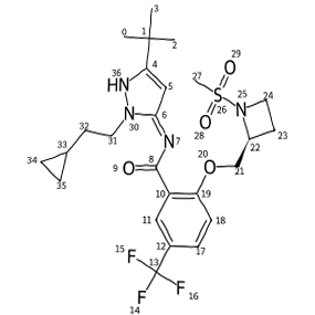 CC(C)(C)c1cc(=NC(=O)c2cc(C(F)(F)F)ccc2OC[C@@H]2CCN2S(C)(=O)=O)n(CCC2CC2)[nH]1